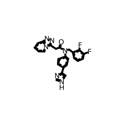 O=C(Cc1nnc2ccccn12)N(Cc1cccc(F)c1F)c1ccc(-c2c[nH]cn2)cc1